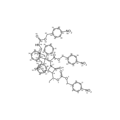 CC(OC(=O)OCc1ccc([N+](=O)[O-])cc1)C1C(=O)N(C(C(=O)OCc2ccc([N+](=O)[O-])cc2)=P(c2ccccc2)(c2ccccc2)c2ccccc2)C1SC(=S)SCC(C)(C)CNC(=O)OCc1ccc([N+](=O)[O-])cc1